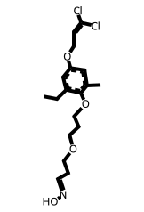 CCc1cc(OCC=C(Cl)Cl)cc(C)c1OCCCOCCC=NO